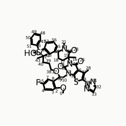 COc1ccc(F)cc1[C@H](Cn1c(=O)n(C2(C)CCCN(C)C2=O)c(=O)c2c(C)c(-n3nccn3)sc21)OCCCC(C)(C)[Si](O)(c1ccccc1)c1ccccc1